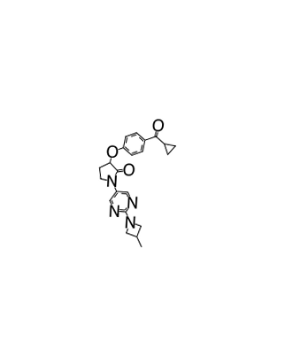 CC1CN(c2ncc(N3CCC(Oc4ccc(C(=O)C5CC5)cc4)C3=O)cn2)C1